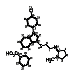 CN1CCCC1=NCCSc1cn(-c2ccc(Cl)cc2)c2ccccc12.O=C(O)c1ccccc1